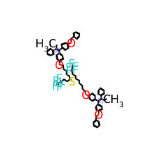 CC/C(=C(/c1ccc(OCCCCCC(CCC(F)(F)C(F)(F)F)SC(CCCCCOc2ccc(/C(=C(/CC)c3ccccc3)c3ccc(OCc4ccccc4)cc3)cc2)CCC(F)(F)C(F)(F)F)cc1)c1ccc(OCc2ccccc2)cc1)c1ccccc1